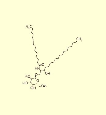 CCCCCCCCCCCCCCCC(O)C(CO[C@H]1O[C@H](CO)[C@H](O)[C@H](O)[C@H]1O)NC(=O)CCCCCCCCCCCCC